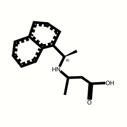 CC(CC(=O)O)N[C@H](C)c1cccc2ccccc12